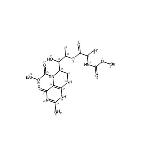 CC(C)C(NC(=O)OC(C)(C)C)C(=O)OC(C)C(O)C1CNc2[nH]c(N)nc(=O)c2N1C(=O)OC(C)(C)C